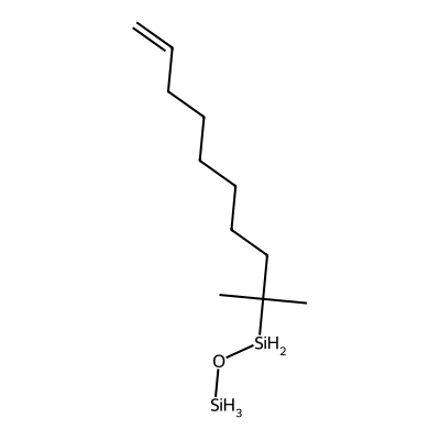 C=CCCCCCCC(C)(C)[SiH2]O[SiH3]